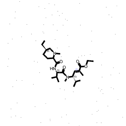 CCOC(=O)/C(C)=C/[C@H](C(C)C)N(C)C(=O)[C@@H](NC(=O)C1CC[C@@H](CC)CN1C)C(C)C